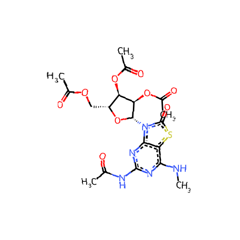 CNc1nc(NC(C)=O)nc2c1sc(=O)n2[C@@H]1O[C@H](COC(C)=O)[C@@H](OC(C)=O)[C@H]1OC(C)=O